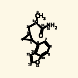 CN(CC1CC1c1cccc2occc12)C(N)=O